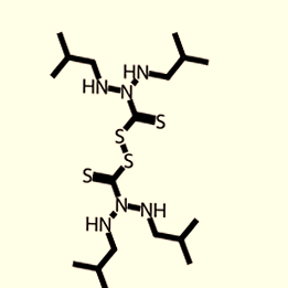 CC(C)CNN(NCC(C)C)C(=S)SSC(=S)N(NCC(C)C)NCC(C)C